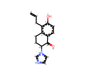 C=CCc1c(O)ccc2c1CCC(n1ccnc1)C2=O